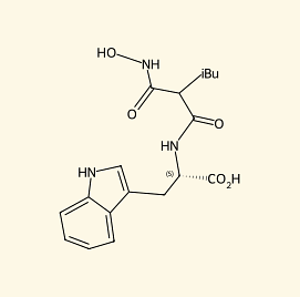 CCC(C)C(C(=O)NO)C(=O)N[C@@H](Cc1c[nH]c2ccccc12)C(=O)O